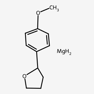 COc1ccc(C2CCCO2)cc1.[MgH2]